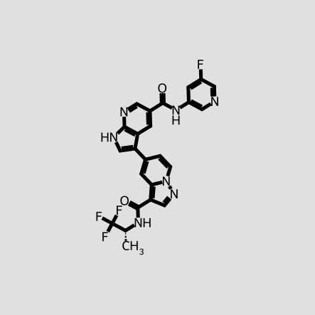 C[C@@H](NC(=O)c1cnn2ccc(-c3c[nH]c4ncc(C(=O)Nc5cncc(F)c5)cc34)cc12)C(F)(F)F